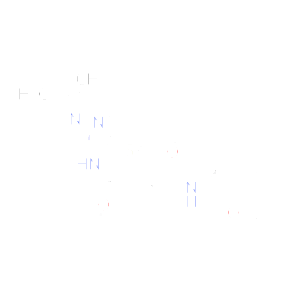 CC(C)=N/N=C1\NC(=O)C(CC(=O)NCc2ccco2)S1